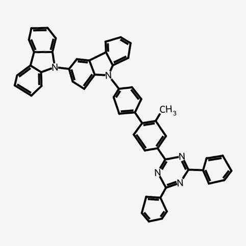 Cc1cc(-c2nc(-c3ccccc3)nc(-c3ccccc3)n2)ccc1-c1ccc(-n2c3ccccc3c3cc(-n4c5ccccc5c5ccccc54)ccc32)cc1